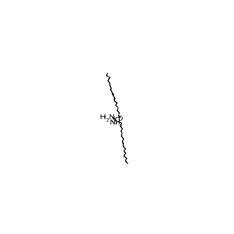 CCCCCCCCC=CCCCCCCCCOCCCCCCCCC=CCCCCCCCC.NC(N)=O